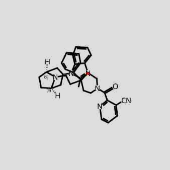 Cc1nc2ccccc2n1[C@H]1C[C@H]2CC[C@@H](C1)N2CCC1(c2ccccc2)CCN(C(=O)c2ncccc2C#N)CC1